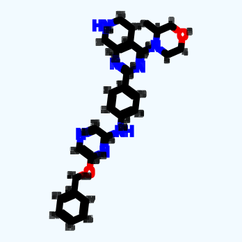 CC1COCCN1c1nc(-c2ccc(Nc3cncc(OCc4ccccc4)n3)cc2)nc2c1CCNC2